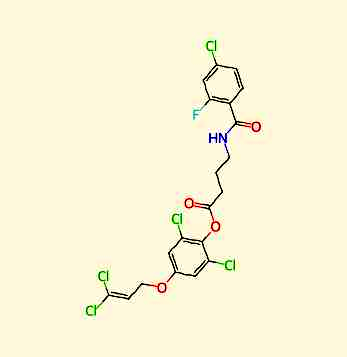 O=C(CCCNC(=O)c1ccc(Cl)cc1F)Oc1c(Cl)cc(OCC=C(Cl)Cl)cc1Cl